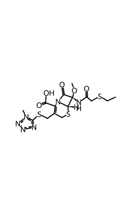 CCSCC(=O)N[C@]1(OC)C(=O)N2C(C(=O)O)=C(CSc3nnnn3C)CS[C@H]21